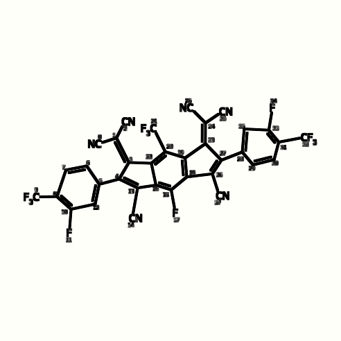 N#CC(C#N)=C1C(c2ccc(C(F)(F)F)c(F)c2)=C(C#N)c2c(F)c3c(c(C(F)(F)F)c21)C(=C(C#N)C#N)C(c1ccc(C(F)(F)F)c(F)c1)=C3C#N